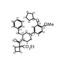 CCOC(=O)C1(C(=O)N2CCN(c3ccc(OC)c(OC4CCCC4)c3)C[C@@H]2Cc2ccccc2)CCC1